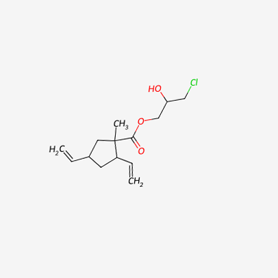 C=CC1CC(C=C)C(C)(C(=O)OCC(O)CCl)C1